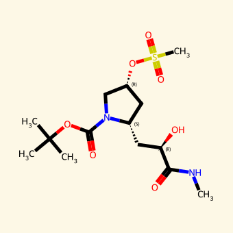 CNC(=O)[C@H](O)C[C@H]1C[C@@H](OS(C)(=O)=O)CN1C(=O)OC(C)(C)C